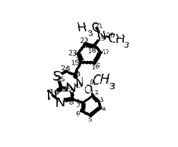 COc1ccccc1-c1nnc2n1N=C(c1ccc(N(C)C)cc1)CS2